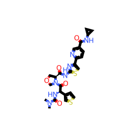 CN(C)C(=O)N[C@@H](C(=O)N1COC[C@H]1C(=O)Nc1nc(-c2ccc(C(=O)NC3CC3)cn2)cs1)c1ccsc1